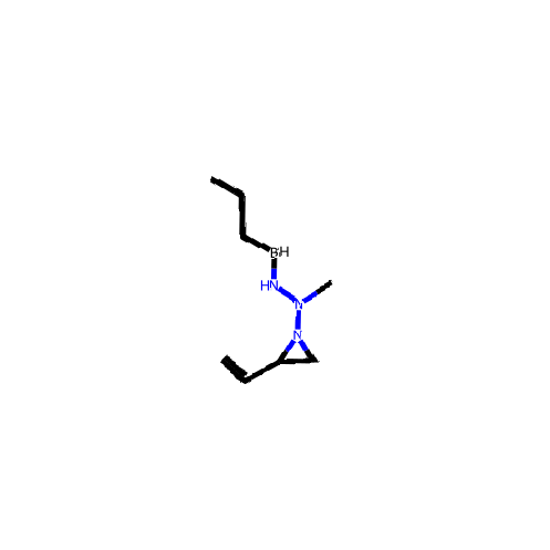 C=CC1CN1N(C)NBCCC